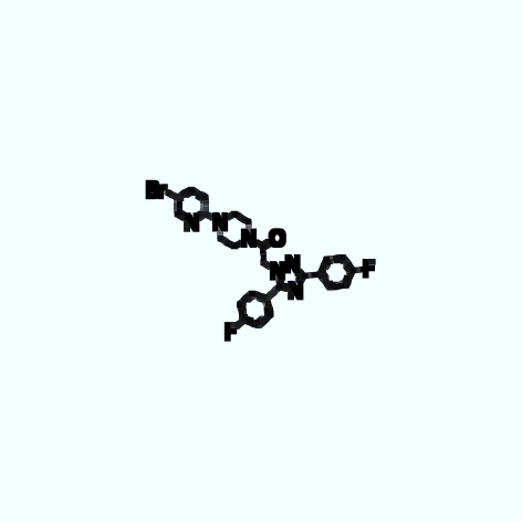 O=C(Cn1nc(-c2ccc(F)cc2)nc1-c1ccc(F)cc1)N1CCN(c2ccc(Br)cn2)CC1